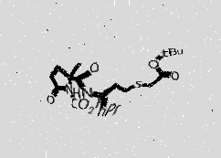 CCCC(CCSCC(=O)OC(C)(C)C)NC(=O)C1(C)CCC(=O)N1C(=O)O